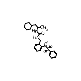 CC(CC1CCCCC1)NC(=O)NCc1ccccc1NS(=O)(=O)c1ccccc1